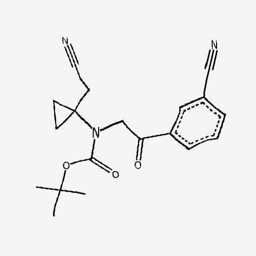 CC(C)(C)OC(=O)N(CC(=O)c1cccc(C#N)c1)C1(CC#N)CC1